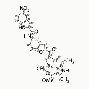 COC(=O)c1c(C)[nH]c2c(C)cc3c(c12)[C@H](CCl)CN3C(=O)c1cc2cc(NC(=O)c3cc4cc([N+](=O)[O-])ccc4[nH]3)ccc2o1